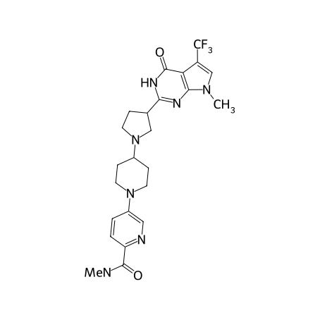 CNC(=O)c1ccc(N2CCC(N3CCC(c4nc5c(c(C(F)(F)F)cn5C)c(=O)[nH]4)C3)CC2)cn1